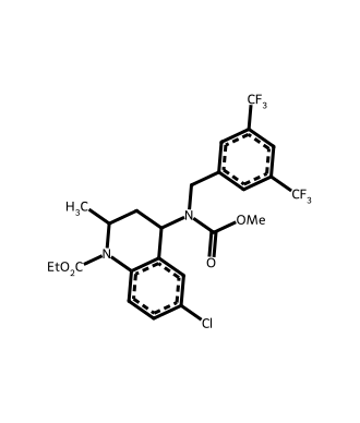 CCOC(=O)N1c2ccc(Cl)cc2C(N(Cc2cc(C(F)(F)F)cc(C(F)(F)F)c2)C(=O)OC)CC1C